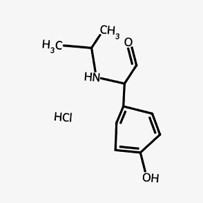 CC(C)NC(C=O)c1ccc(O)cc1.Cl